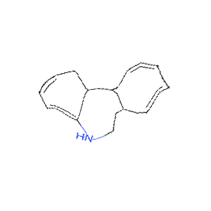 C1=CCC2C(=C1)NCC1C=CC=CC12